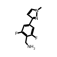 Cn1ccc(-c2cc(F)c(CN)c(F)c2)n1